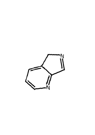 C1=NCc2cccnc21